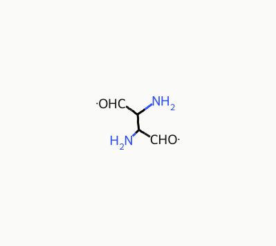 NC([C]=O)C(N)[C]=O